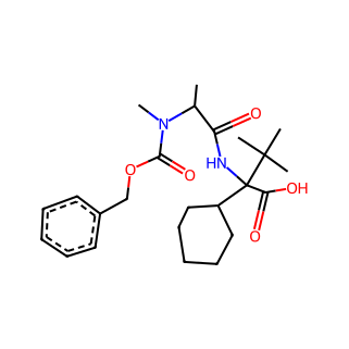 CC(C(=O)NC(C(=O)O)(C1CCCCC1)C(C)(C)C)N(C)C(=O)OCc1ccccc1